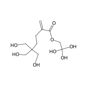 C=C(CCC(CO)(CO)CO)C(=O)OCC(O)(O)O